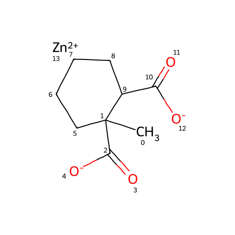 CC1(C(=O)[O-])CCCCC1C(=O)[O-].[Zn+2]